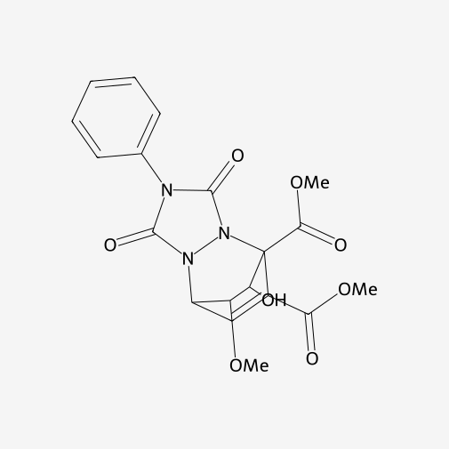 COC(=O)C1=CC2C(OC)C(O)C1(C(=O)OC)n1c(=O)n(-c3ccccc3)c(=O)n12